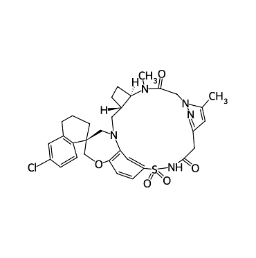 Cc1cc2nn1CC(=O)N(C)[C@@H]1CC[C@H]1CN1C[C@@]3(CCCc4cc(Cl)ccc43)COc3ccc(cc31)S(=O)(=O)NC(=O)C2